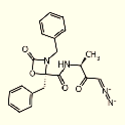 C[C@H](NC(=O)[C@@]1(Cc2ccccc2)OC(=O)N1Cc1ccccc1)C(=O)C=[N+]=[N-]